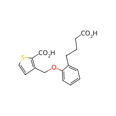 O=C(O)CCCc1ccccc1OCc1ccsc1C(=O)O